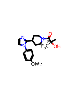 COc1ccc(-n2ccnc2C2CCN(C(=O)[C@@](C)(O)C(F)(F)F)CC2)cc1